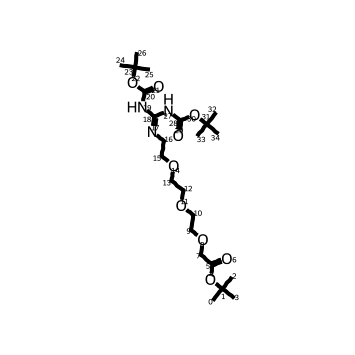 CC(C)(C)OC(=O)COCCOCCOCCN=C(NC(=O)OC(C)(C)C)NC(=O)OC(C)(C)C